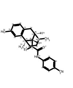 CCN(C(=O)Nc1ccc(C#N)cc1)[C@H]1[C@H]2Cc3ccc(O)cc3[C@]1(C)CCN2C